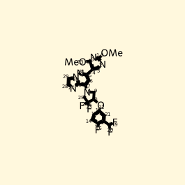 COc1ncc(-c2cc(N3CC(Oc4ccc(F)c(C(F)F)c4)C(F)(F)C3)c3nccn3n2)c(OC)n1